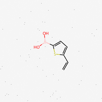 C=Cc1ccc(B(O)O)s1